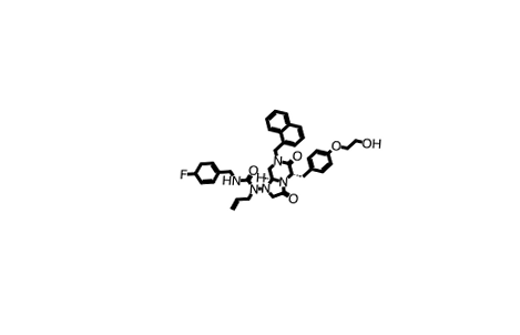 C=CCN(C(=O)NCC1=CCC(F)C=C1)N1CC(=O)N2[C@@H](Cc3ccc(OCCO)cc3)C(=O)N(Cc3cccc4ccccc34)C[C@@H]21